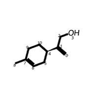 C=C(CO)[C@H]1CC=C(C)CC1